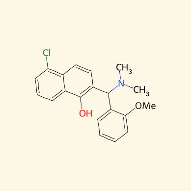 COc1ccccc1C(c1ccc2c(Cl)cccc2c1O)N(C)C